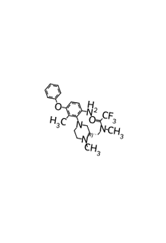 Cc1c(Oc2ccccc2)ccc(N)c1N1CCN(C)[C@@H](CN(C)C(=O)C(F)(F)F)C1